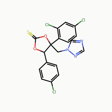 S=C1OC(c2ccc(Cl)cc2)C(Cn2cncn2)(c2ccc(Cl)cc2Cl)O1